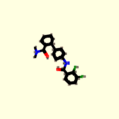 CN(C)C(=O)c1ccccc1-c1ccc(NC(=O)c2cccc(F)c2F)cc1